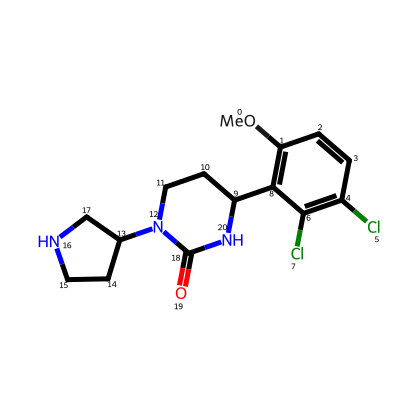 COc1ccc(Cl)c(Cl)c1C1CCN(C2CCNC2)C(=O)N1